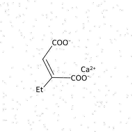 CCC(=CC(=O)[O-])C(=O)[O-].[Ca+2]